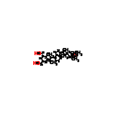 C=C1/C(=C(C)\C=C2/CCC[C@@]3(C)C2CCC3[C@H](C)CCCC(C)(C)OC)C[C@@H](CO)C[C@@H]1CO